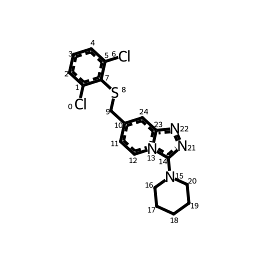 Clc1cccc(Cl)c1SCc1ccn2c(N3CCCCC3)nnc2c1